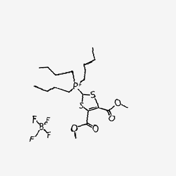 CCCC[P+](CCCC)(CCCC)C1SC(C(=O)OC)=C(C(=O)OC)S1.F[B-](F)(F)F